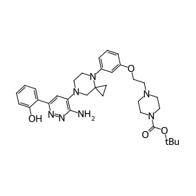 CC(C)(C)OC(=O)N1CCN(CCOc2cccc(N3CCN(c4cc(-c5ccccc5O)nnc4N)CC34CC4)c2)CC1